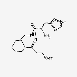 CCCCCCCCCCCCC(=O)N1CCCCC1CNC(=O)C(N)Cc1c[nH]cn1